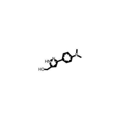 CN(C)c1ccc(-c2cc(CO)[nH]n2)cc1